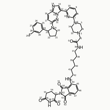 O=C(CN1CCN(c2cccc(-c3cnc4ccc(N5CCCC5c5cccc(F)c5)nn34)n2)CC1)NCCCCCCNc1cccc2c1C(=O)N(C1CCC(=O)NC1=O)C2=O